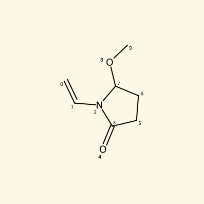 C=CN1C(=O)CCC1OC